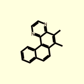 Cc1c(C)c2nccnc2c2c1ccc1ccccc12